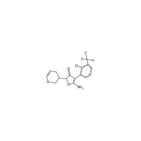 NC1=C(c2cccc(C(F)(F)F)c2Cl)C(=O)C(C2CC=COC2)O1